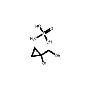 CP(=O)(O)O.OCC1(O)CC1